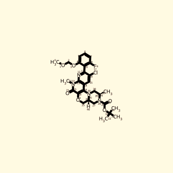 COCOc1cccc(F)c1-c1nc2c(cc1Cl)c1c(c(=O)n2C)OC[C@H]2CN(C(=O)OC(C)(C)C)[C@H](C)CN12